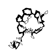 COC(=O)C1CN(Cc2cc(=O)n3ccc(-c4cccc(-c5cccc(-c6ccc(CNC[C@@H]7CCC(=O)N7)c(OC)n6)c5Cl)c4Cl)cc3n2)C1